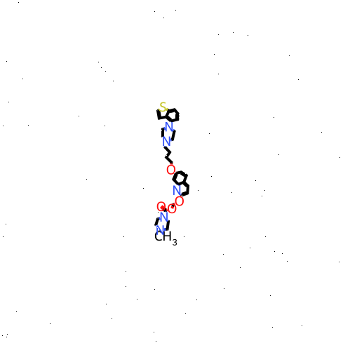 CN1CCN(C(=O)OCOc2ccc3ccc(OCCCCN4CCN(c5cccc6sccc56)CC4)cc3n2)CC1